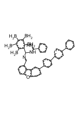 Bc1c(B)c(B)c(C(/N=C/c2cccc3oc4ccc(-c5ccc(-c6ccc(-c7ccccc7)cc6)cc5)cc4c23)NC(=N)c2ccccc2)c(B)c1B